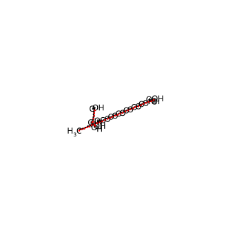 CCCCCCCCCCCN(C(=O)CCCCCCCCCC(=O)O)C(CCC(=O)NCCOCCOCCOCCOCCOCCOCCOCCOCCOCCOCCOCCOCCC(=O)NCC(=O)O)C(=O)O